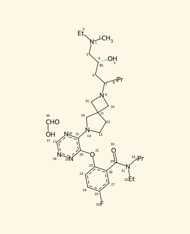 CCN(C)C[C@H](O)CC(C(C)C)N1CC2(CCN(c3ncnnc3Oc3ccc(F)cc3C(=O)N(CC)C(C)C)C2)C1.O=CO